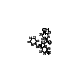 CN1CCN(C(=O)c2cn(CC3CCCCC3)c3ccc(F)cc23)CC1